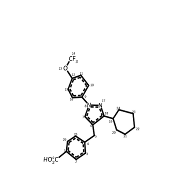 O=C(O)c1ccc(Cc2cn(-c3ccc(OC(F)(F)F)cc3)nc2C2CCCCC2)cc1